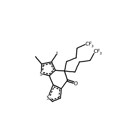 Cc1sc2c(c1I)C(CCCC(F)(F)F)(CCCC(F)(F)F)C(=O)c1ccsc1-2